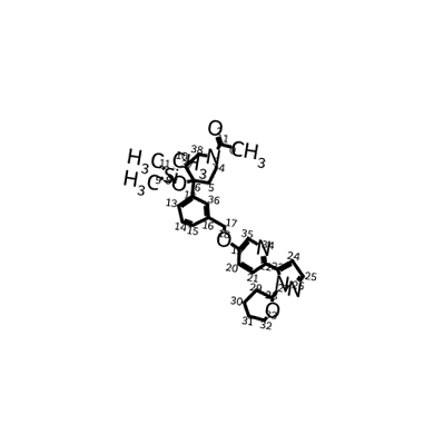 CC(=O)N1CCC(O[Si](C)(C)C)(c2cccc(COc3ccc(-c4ccnn4C4CCCCO4)nc3)c2)CC1